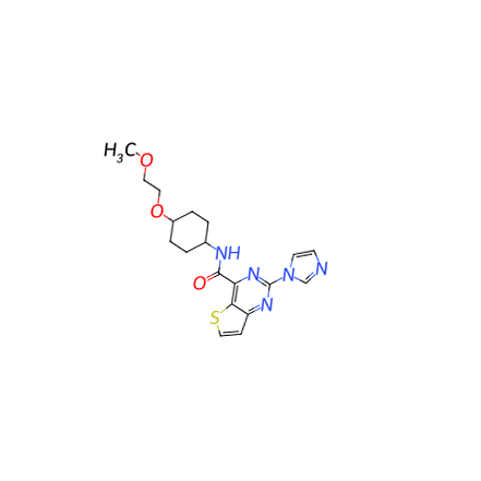 COCCOC1CCC(NC(=O)c2nc(-n3ccnc3)nc3ccsc23)CC1